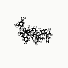 CC[C@H](C)[C@@H]([C@@H](CC(=O)N1CCCC1[C@H](OC)[C@@H](C)C(=O)N[C@@H](Cc1ccccc1)C(=O)OCc1ccc(OC)cc1OC)OC)N(C)C(=O)C(NC(=O)[C@@H](NC)C(C)C)C(C)C